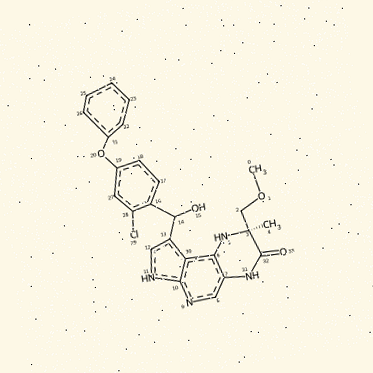 COC[C@]1(C)Nc2c(cnc3[nH]cc(C(O)c4ccc(Oc5ccccc5)cc4Cl)c23)NC1=O